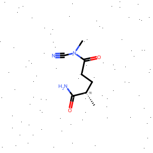 C[C@@H](C[CH]C(=O)N(C)C#N)C(N)=O